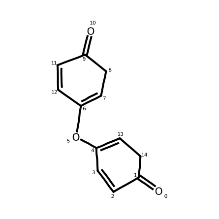 O=C1C=CC(OC2=CCC(=O)C=C2)=CC1